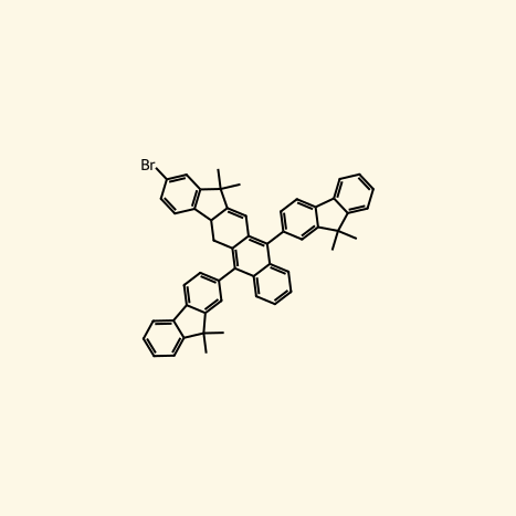 CC1(C)C2=Cc3c(c(-c4ccc5c(c4)C(C)(C)c4ccccc4-5)c4ccccc4c3-c3ccc4c(c3)C(C)(C)c3ccccc3-4)CC2c2ccc(Br)cc21